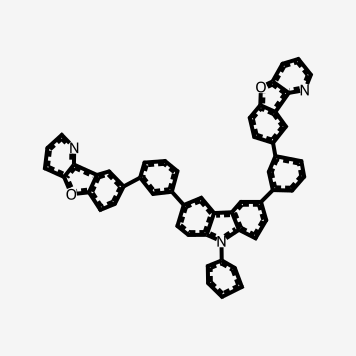 c1ccc(-n2c3ccc(-c4cccc(-c5ccc6oc7cccnc7c6c5)c4)cc3c3cc(-c4cccc(-c5ccc6oc7cccnc7c6c5)c4)ccc32)cc1